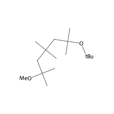 COC(C)(C)CC(C)(C)CC(C)(C)OC(C)(C)C